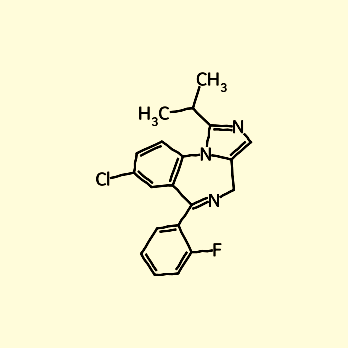 CC(C)c1ncc2n1-c1ccc(Cl)cc1C(c1ccccc1F)=NC2